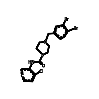 O=C(Nc1ccccc1Cl)N1CCN(Cc2ccc(Br)c(Br)c2)CC1